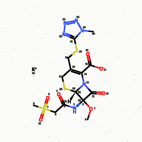 CO[C@@]1(NC(=O)CS(C)(=O)=O)C(=O)N2C(C(=O)[O-])=C(CSc3nnnn3C)CS[C@@H]21.[K+]